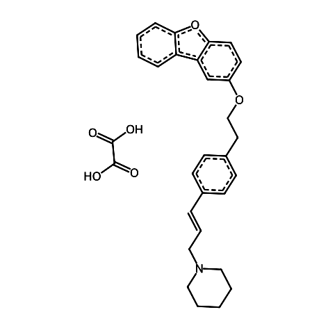 C(=C\c1ccc(CCOc2ccc3oc4ccccc4c3c2)cc1)/CN1CCCCC1.O=C(O)C(=O)O